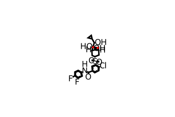 C[C@H]1C[C@@H]2C[C@@H](S(=O)(=O)c3cc(C(=O)Nc4ccc(F)c(F)c4)ccc3Cl)C[C@H]1[C@@]2(O)[C@H](O)[C@@H](O)C1CC1